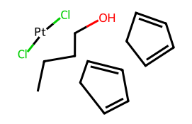 C1=CCC=C1.C1=CCC=C1.CCCCO.[Cl][Pt][Cl]